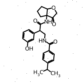 CC(C)c1ccc(C(=O)NCC(C(=O)NC23CCCC2OCC3=O)c2cccc(O)c2)cc1